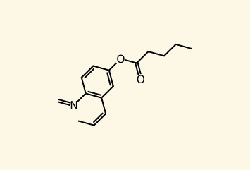 C=Nc1ccc(OC(=O)CCCC)cc1/C=C\C